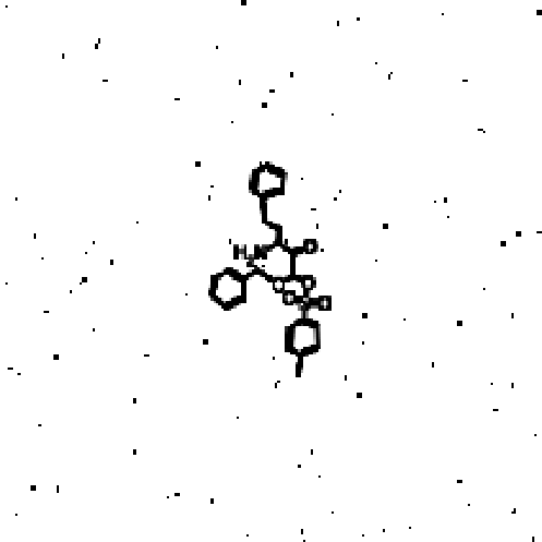 Cc1ccc(S(=O)(=O)OC(OCc2ccccc2)C(=O)C(N)CCc2ccccc2)cc1